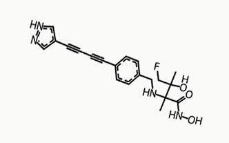 CC(O)(CF)C(C)(NCc1ccc(C#CC#Cc2cn[nH]c2)cc1)C(=O)NO